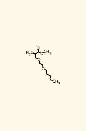 C=C(COCCOCCCSC)C(=O)OC